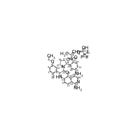 CCOc1ccc(F)c([C@@H](Nc2ccc3c(N)nccc3c2)C(=O)N2CCC[C@H]2c2cc(N)ccc2S(=O)(=O)C(C)C)c1.O=C(O)C(F)(F)F